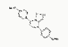 COc1ccc(C2=CC=C(c3ccc(OC)cc3)N3SNC=C23)cc1